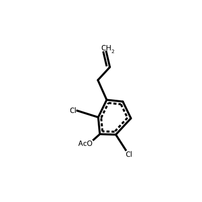 C=CCc1ccc(Cl)c(OC(C)=O)c1Cl